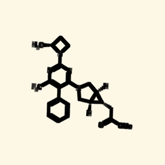 COC(=O)C[C@@H]1[C@H]2CN(c3nc(N4CC[C@@H]4C)nc(C(F)(F)F)c3-c3ccccc3)C[C@@H]12